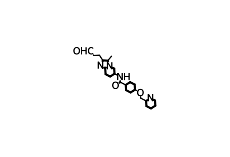 Cc1c(CCC=O)nc2ccc(NC(=O)c3ccc(OCc4ccccn4)cc3)cn12